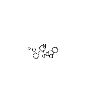 Clc1ccccc1COC1(c2cnccc2-c2ccccc2OC2CC2)CC1